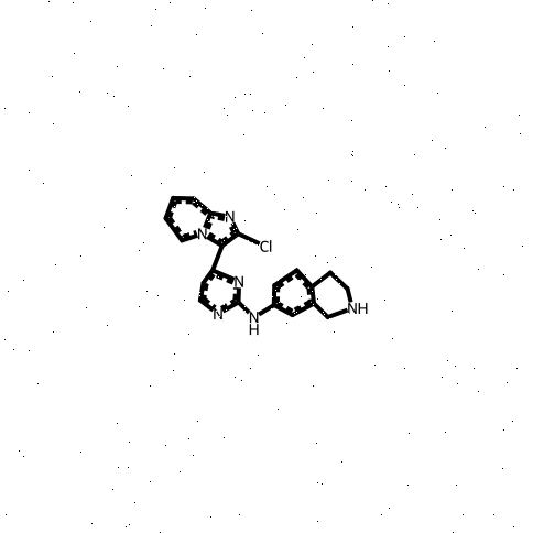 Clc1nc2ccccn2c1-c1ccnc(Nc2ccc3c(c2)CNCC3)n1